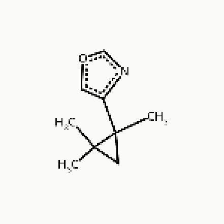 CC1(C)CC1(C)c1cocn1